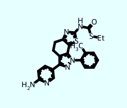 CCSC(=O)Nc1nc2c(s1)-c1c(c(-c3ccc(N)nc3)nn1-c1ccccc1C)CC2